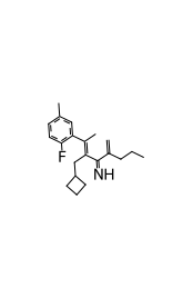 C=C(CCC)C(=N)/C(CC1CCC1)=C(\C)c1cc(C)ccc1F